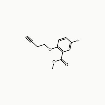 C#CCCOc1ccc(F)cc1C(=O)OC